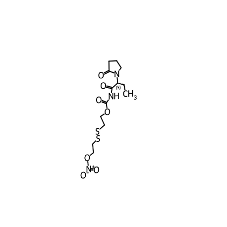 CC[C@@H](C(=O)NC(=O)OCCSSCCO[N+](=O)[O-])N1CCCC1=O